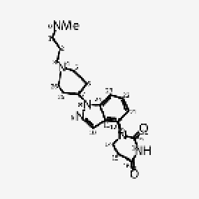 CNCCCN1CCC(n2ncc3c(N4CCC(=O)NC4=O)cccc32)CC1